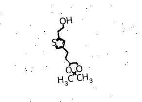 CC1(C)OC[C@H](CCc2csc(CCO)c2)O1